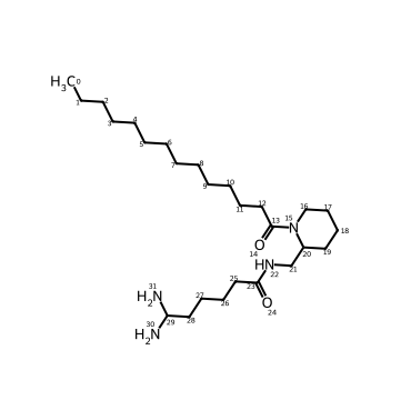 CCCCCCCCCCCCCC(=O)N1CCCCC1CNC(=O)CCCCC(N)N